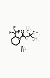 CC(C)(C)OC(=O)N1CCCCC1[B-](F)(F)F.[H+].[K]